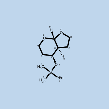 CC(C)(C)[Si](C)(C)O[C@H]1CCO[C@@H]2OCC[C@H]21